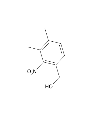 Cc1ccc(CO)c([N+](=O)[O-])c1C